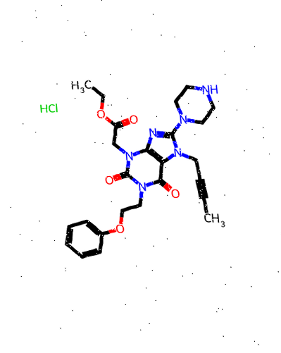 CC#CCn1c(N2CCNCC2)nc2c1c(=O)n(CCOc1ccccc1)c(=O)n2CC(=O)OCC.Cl